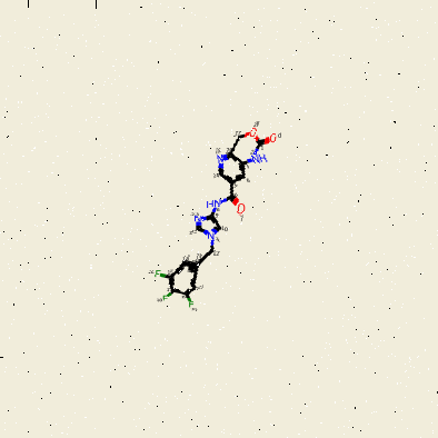 O=C1Nc2cc(C(=O)Nc3cn(Cc4cc(F)c(F)c(F)c4)cn3)cnc2CO1